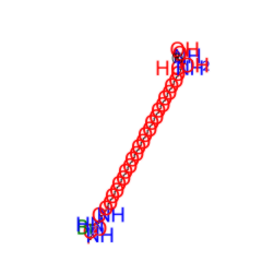 CCCCNC(=O)/C=C(\Br)C(=O)NCCCC(=O)NCCOCCOCCOCCOCCOCCOCCOCCOCCOCCOCCOCCOCCOCCOCCOCCOCCOCCOCCOCCOCCOCCOCCOCC(O)Nc1cc(C[C@H](N)CC(C)C(=O)O)ccc1O